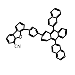 N#Cc1cccc2c1oc1c(-c3ccc(-c4ccc5c(-c6ccc7ccccc7c6)c6ccccc6c(-c6ccc7ccccc7c6)c5c4)cc3)cccc12